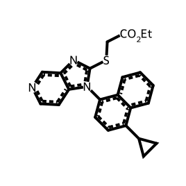 CCOC(=O)CSc1nc2cnccc2n1-c1ccc(C2CC2)c2ccccc12